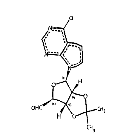 CC1(C)O[C@@H]2[C@H](O1)[C@@H](C=O)O[C@H]2n1ccc2c(Cl)ncnc21